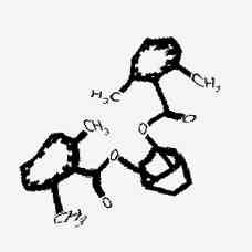 Cc1cccc(C)c1C(=O)OC1C2CCC(CC2)C1OC(=O)c1c(C)cccc1C